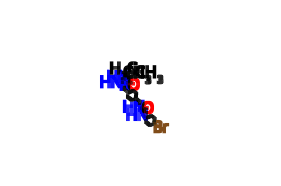 CC(C)CC1(C)NC(=N)N(Cc2ccc(CNC(=O)Nc3ccc(Br)cc3)cc2)C1=O